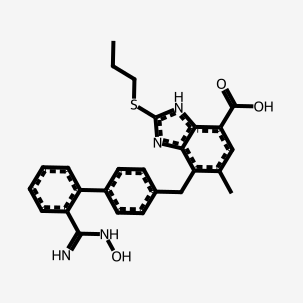 CCCSc1nc2c(Cc3ccc(-c4ccccc4C(=N)NO)cc3)c(C)cc(C(=O)O)c2[nH]1